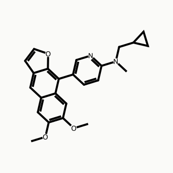 COc1cc2cc3ccoc3c(-c3ccc(N(C)CC4CC4)nc3)c2cc1OC